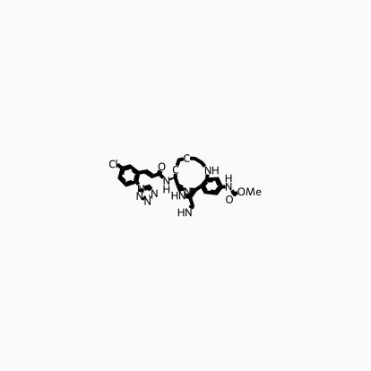 COC(=O)Nc1ccc2c(c1)NCCCCC[C@H](NC(=O)/C=C/c1cc(Cl)ccc1-n1cnnn1)c1nc-2c(C=N)[nH]1